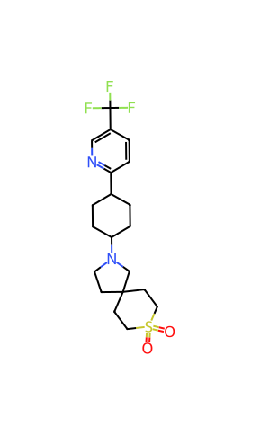 O=S1(=O)CCC2(CCN(C3CCC(c4ccc(C(F)(F)F)cn4)CC3)C2)CC1